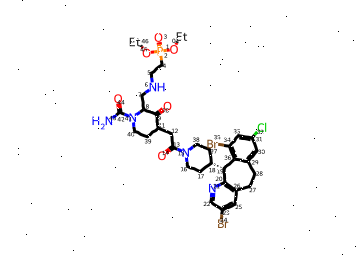 CCOP(=O)(CCNCC1C(=O)C(CC(=O)N2CCC([C@H]3c4ncc(Br)cc4CCc4cc(Cl)cc(Br)c43)CC2)CCN1C(N)=O)OCC